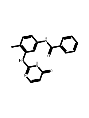 Cc1ccc(NC(=O)c2ccccc2)cc1Nc1nccc(=O)[nH]1